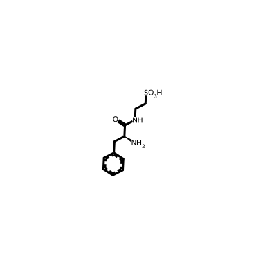 N[C@@H](Cc1ccccc1)C(=O)NCCS(=O)(=O)O